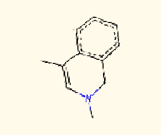 CC1=CN(C)Cc2ccc[c]c21